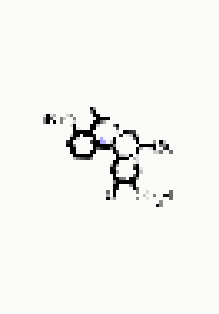 CC(C)=c1c(OCC(C)C)ccc/c1=C1\c2cc(=O)c(C(=O)O)cn2C(C(C)(C)C)CN1C